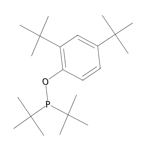 CC(C)(C)c1ccc(OP(C(C)(C)C)C(C)(C)C)c(C(C)(C)C)c1